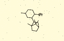 CC1CCC(C(C)C)[C](C2CC3CCC2(C)C3(C)C)C1